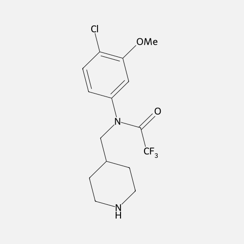 COc1cc(N(CC2CCNCC2)C(=O)C(F)(F)F)ccc1Cl